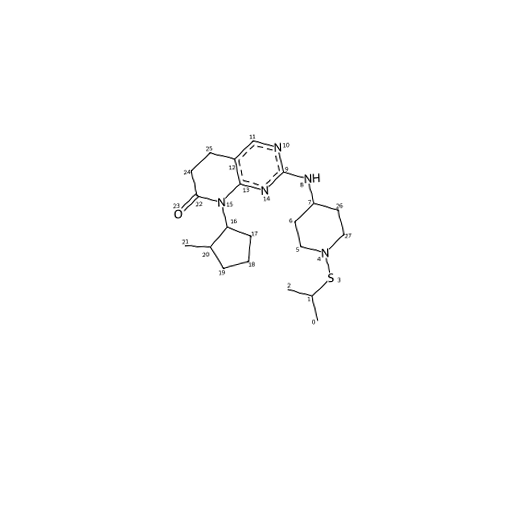 CC(C)SN1CCC(Nc2ncc3c(n2)N(C2CCCC2C)C(=O)CC3)CC1